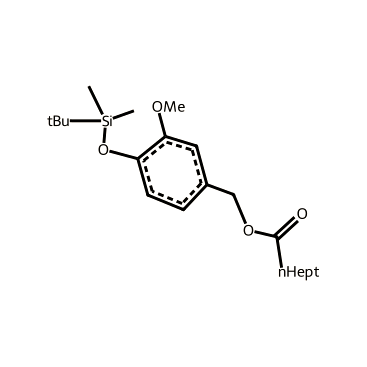 CCCCCCCC(=O)OCc1ccc(O[Si](C)(C)C(C)(C)C)c(OC)c1